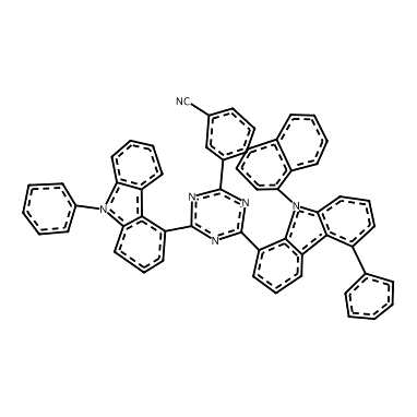 N#Cc1cccc(-c2nc(-c3cccc4c3c3ccccc3n4-c3ccccc3)nc(-c3cccc4c5c(-c6ccccc6)cccc5n(-c5cccc6ccccc56)c34)n2)c1